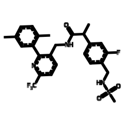 Cc1ccc(C)c(-c2nc(C(F)(F)F)ccc2CNC(=O)C(C)c2ccc(CNS(C)(=O)=O)c(F)c2)c1